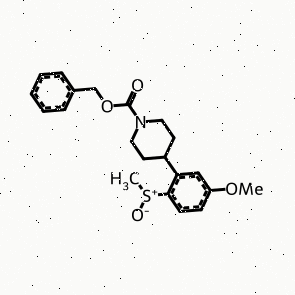 COc1ccc([S+](C)[O-])c(C2CCN(C(=O)OCc3ccccc3)CC2)c1